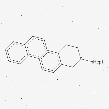 CCCCCCCC1CCc2c(ccc3c2ccc2ccccc23)C1